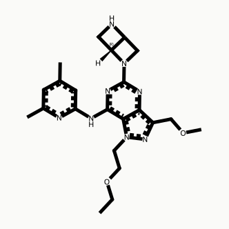 CCOCCn1nc(COC)c2nc(N3CC4NC[C@H]43)nc(Nc3cc(C)cc(C)n3)c21